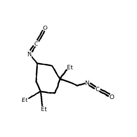 CCC1(CC)CC(N=C=O)CC(CC)(CN=C=O)C1